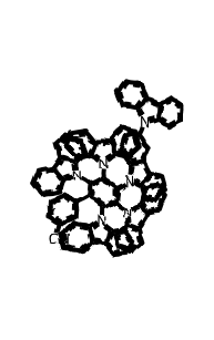 N#Cc1cccc(-c2c(-n3c4ccccc4c4ccccc43)c(-n3c4ccccc4c4ccccc43)c(-n3c4ccccc4c4cc(-n5c6ccccc6c6ccccc65)ccc43)c(-n3c4ccccc4c4ccccc43)c2-n2c3ccccc3c3ccccc32)c1